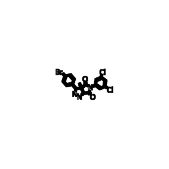 CC12C(=O)N(c3cc(Cl)cc(Cl)c3)C(=O)C1N=NC2c1ccc(Br)cc1